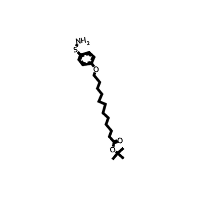 CC(C)(C)OC(=O)CCCCCCCCCCCOc1ccc(SN)cc1